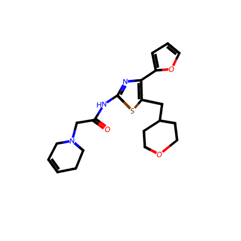 O=C(CN1CC=CCC1)Nc1nc(-c2ccco2)c(CC2CCOCC2)s1